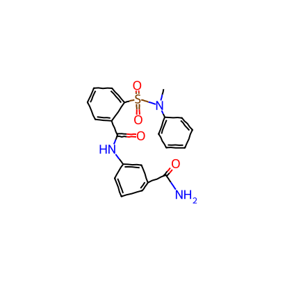 CN(c1ccccc1)S(=O)(=O)c1ccccc1C(=O)Nc1cccc(C(N)=O)c1